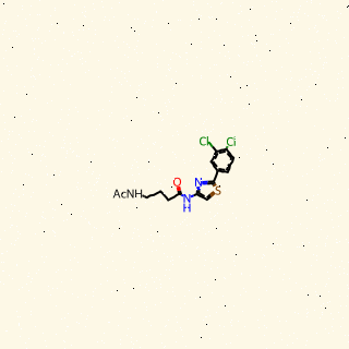 CC(=O)NCCCC(=O)Nc1csc(-c2ccc(Cl)c(Cl)c2)n1